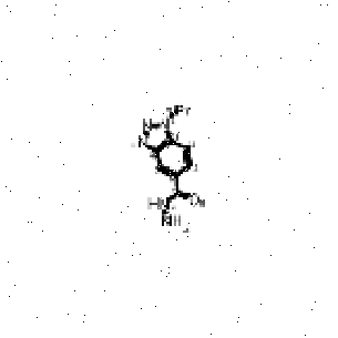 CC(C)n1nnc2cc(C(=O)NN)ccc21